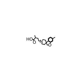 Cc1ccc2c(c1)OCC21CCN(CCC(C)C(=O)O)CC1